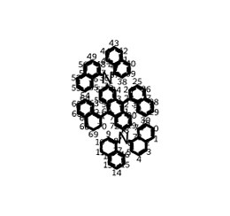 C1=CC2C=CC=C(N(C3=CCCc4ccccc43)c3ccc4c(-c5cccc6ccccc56)c5cc(N(c6cccc7ccccc67)c6cccc7ccccc67)ccc5c(C5=c6ccccc6=CCC5)c4c3)C2C=C1